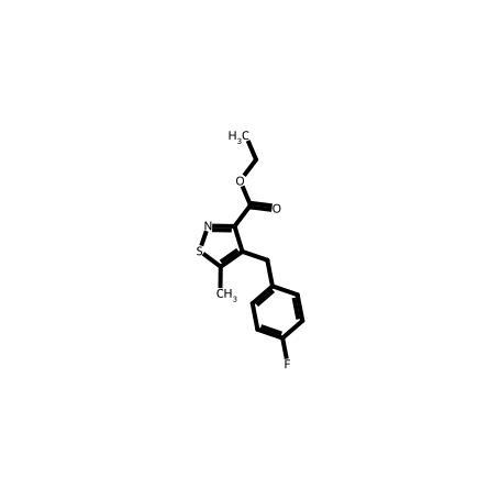 CCOC(=O)c1nsc(C)c1Cc1ccc(F)cc1